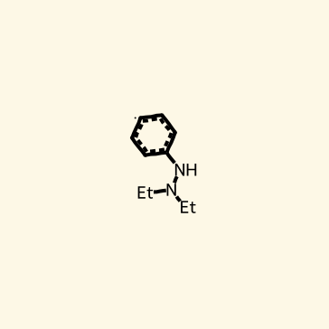 CCN(CC)Nc1cc[c]cc1